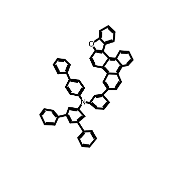 c1ccc(-c2ccc(N(c3cccc(-c4ccc5c6ccccc6c6c(ccc7oc8ccccc8c76)c5c4)c3)c3cc(-c4ccccc4)cc(-c4ccccc4)c3)cc2)cc1